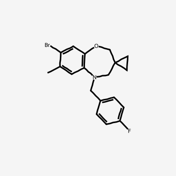 Cc1cc2c(cc1Br)OCC1(CC1)CN2Cc1ccc(F)cc1